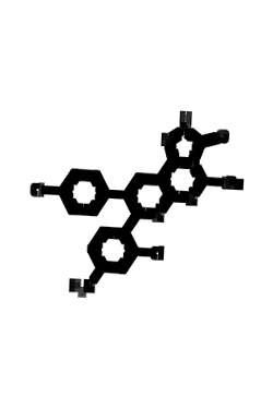 CC(C)(C)c1nc2nc(-c3ccc(N)cc3Cl)c(-c3ccc(Cl)cc3)cc2c2n[nH]c(=O)n12